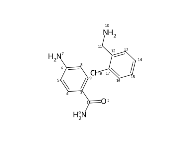 NC(=O)c1ccc(N)cc1.NCc1ccccc1Cl